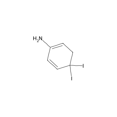 NC1=CCC(I)(I)C=C1